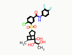 C[C@H]1CC23C[C@H](S(=O)(=O)c4cc(C(=O)Nc5ccc(F)c(F)c5)ccc4Cl)CC2[C@](O)([C@H](O)[C@@H](C)O)C13